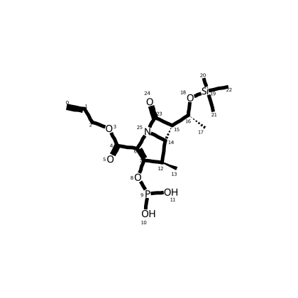 C=CCOC(=O)C1=C(OP(O)O)[C@H](C)C2[C@@H]([C@@H](C)O[Si](C)(C)C)C(=O)N12